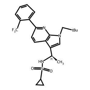 C[C@@H](NS(=O)(=O)C1CC1)c1cn(CC(C)(C)C)c2nc(-c3ccccc3C(F)(F)F)ccc12